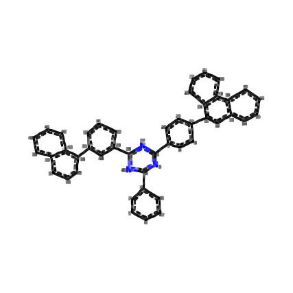 c1ccc(-c2nc(-c3ccc(-c4cc5ccccc5c5ccccc45)cc3)nc(-c3cccc(-c4cccc5ccccc45)c3)n2)cc1